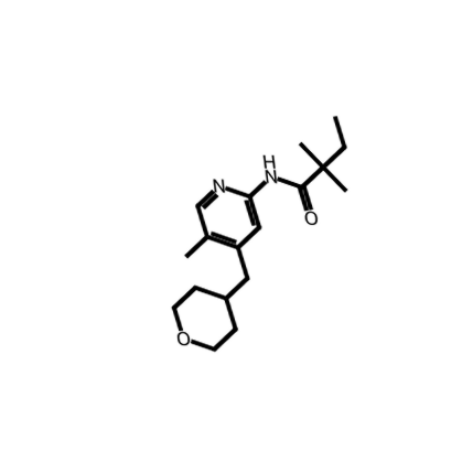 CCC(C)(C)C(=O)Nc1cc(CC2CCOCC2)c(C)cn1